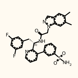 Cc1cc2cnn(CC(=O)N[C@@H](Cc3cc(F)cc(F)c3)c3ncccc3-c3cccc(S(N)(=O)=O)c3)c2cc1C